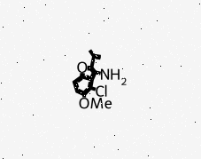 C=C(C)c1oc2ccc(OC)c(Cl)c2c1N